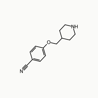 N#Cc1ccc(OCC2CCNCC2)cc1